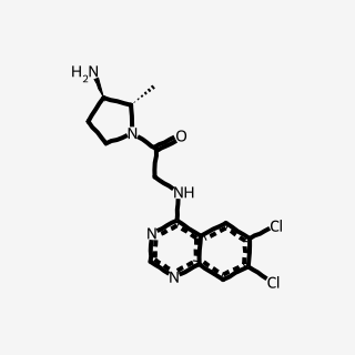 C[C@H]1[C@H](N)CCN1C(=O)CNc1ncnc2cc(Cl)c(Cl)cc12